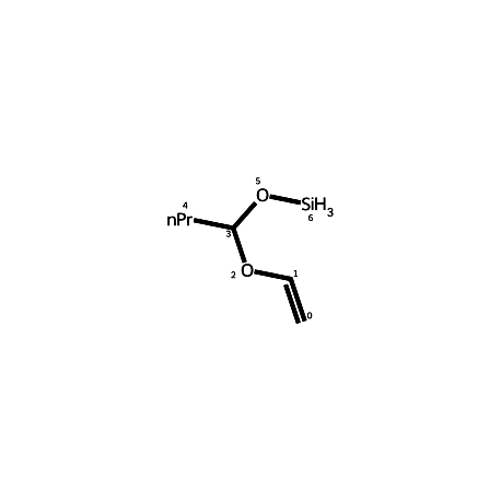 C=COC(CCC)O[SiH3]